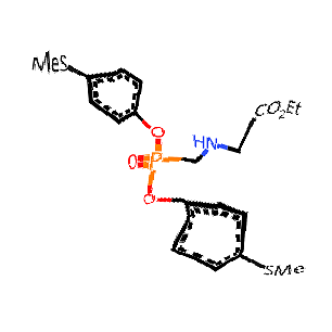 CCOC(=O)CNCP(=O)(Oc1ccc(SC)cc1)Oc1ccc(SC)cc1